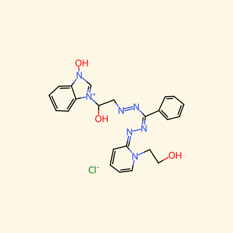 OCCn1ccccc1=NN=C(N=NCC(O)[n+]1cn(O)c2ccccc21)c1ccccc1.[Cl-]